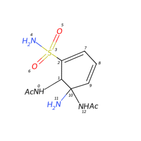 CC(=O)NC1C(S(N)(=O)=O)=CC=CC1(N)NC(C)=O